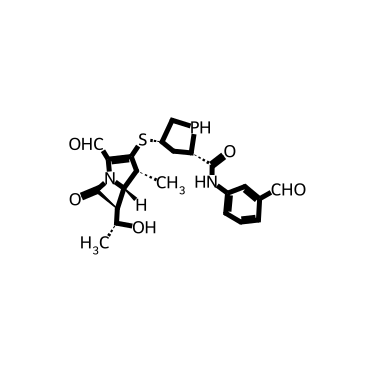 C[C@@H](O)[C@H]1C(=O)N2C(C=O)=C(S[C@@H]3CP[C@H](C(=O)Nc4cccc(C=O)c4)C3)[C@H](C)[C@H]12